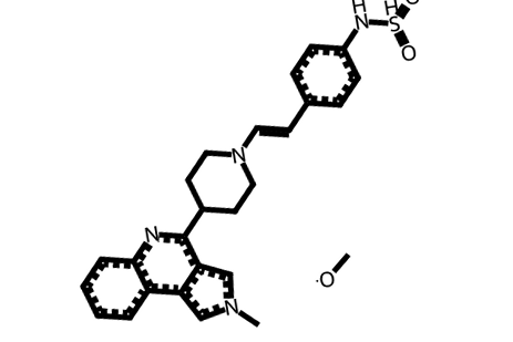 C[O].Cn1cc2c(C3CCN(C=Cc4ccc(N[SH](=O)=O)cc4)CC3)nc3ccccc3c2c1